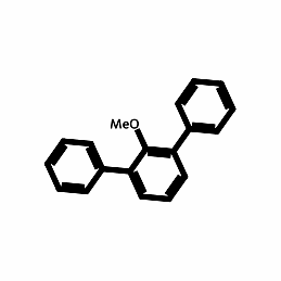 COc1c(-c2ccccc2)cccc1-c1ccccc1